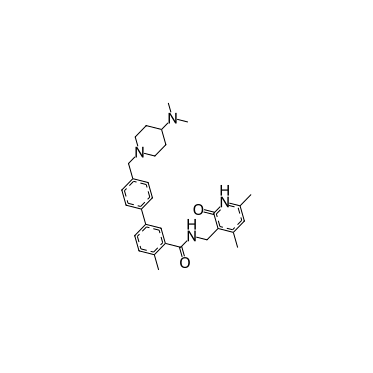 Cc1cc(C)c(CNC(=O)c2cc(-c3ccc(CN4CCC(N(C)C)CC4)cc3)ccc2C)c(=O)[nH]1